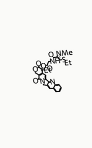 CCSC[C@@H](NC)C(=O)NCC(=O)O[C@]1(CC)C(=O)OCc2c1cc1n(c2=O)Cc2cc3ccccc3nc2-1